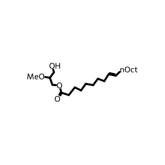 CCCCCCCCC=CCCCCCCCC(=O)OCC(CO)OC